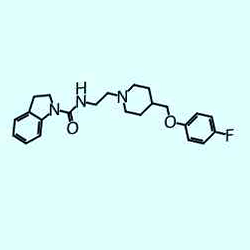 O=C(NCCN1CCC(COc2ccc(F)cc2)CC1)N1CCc2ccccc21